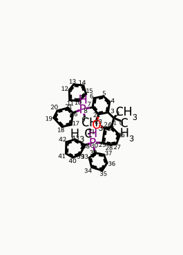 CC1(C)c2cccc([PH](C)(c3ccccc3)c3ccccc3)c2Oc2c1cccc2[PH](C)(c1ccccc1)c1ccccc1